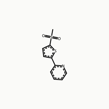 CS(=O)(=O)c1ccc(-c2ccccn2)s1